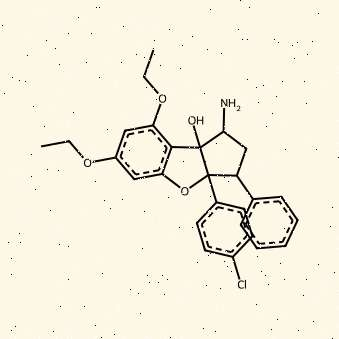 CCOc1cc(OCC)c2c(c1)OC1(c3ccc(Cl)cc3)C(c3ccccc3)CC(N)C21O